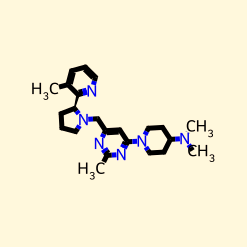 Cc1nc(CN2CCC[C@H]2c2ncccc2C)cc(N2CCC(N(C)C)CC2)n1